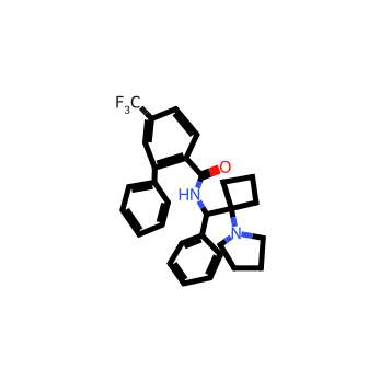 O=C(NC(c1ccccc1)C1(N2CCCC2)CCC1)c1ccc(C(F)(F)F)cc1-c1ccccc1